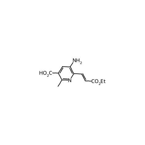 CCOC(=O)C=Cc1nc(C)c(C(=O)O)cc1N